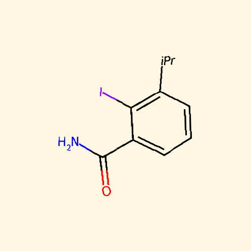 CC(C)c1cccc(C(N)=O)c1I